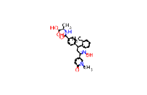 Cc1ccccc1C(C/C(=N/O)c1ccc(=O)n(C)c1)c1ccc(C(=O)NC(C)C(O)O)cc1